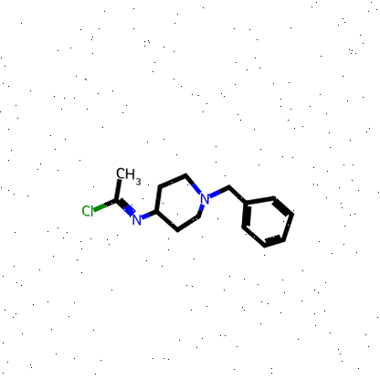 C/C(Cl)=N\C1CCN(Cc2ccccc2)CC1